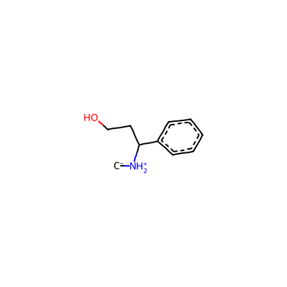 [CH2-][NH2+]C(CCO)c1ccccc1